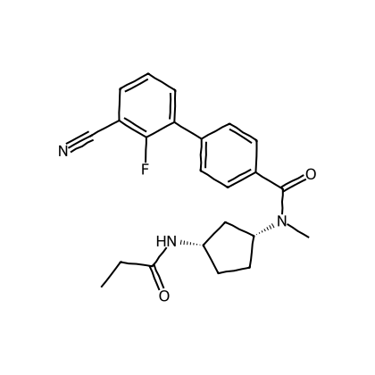 CCC(=O)N[C@H]1CC[C@@H](N(C)C(=O)c2ccc(-c3cccc(C#N)c3F)cc2)C1